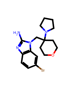 Nc1nc2ccc(Br)cc2n1CC1(N2CCCC2)CCOCC1